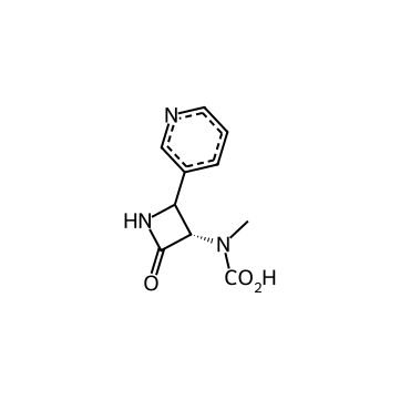 CN(C(=O)O)[C@@H]1C(=O)NC1c1cccnc1